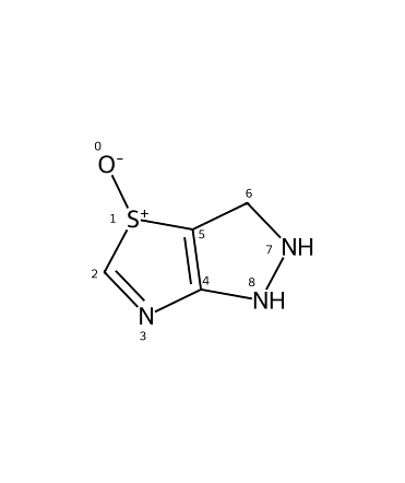 [O-][s+]1cnc2c1CNN2